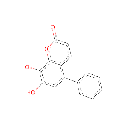 O=c1ccc2c(-c3ccccc3)cc(O)c(O)c2o1